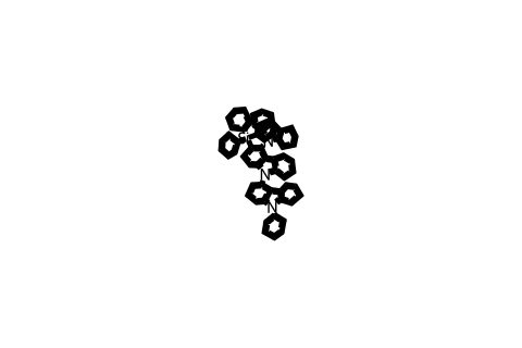 c1ccc(-n2c3ccccc3c3c(-n4c5ccccc5c5c(-n6c7ccccc7c7ccccc76)c([Si](c6ccccc6)(c6ccccc6)c6ccccc6)ccc54)cccc32)cc1